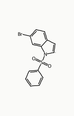 O=S(=O)(c1ccccc1)n1[c]cc2ccc(Br)cc21